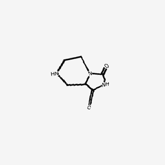 O=C1NC(=O)N2CCNCC12